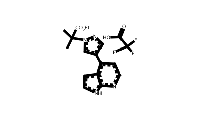 CCOC(=O)C(C)(C)n1cc(-c2ccnc3[nH]ccc23)cn1.O=C(O)C(F)(F)F